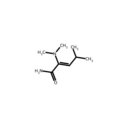 CC(C)C=C(C(N)=O)N(C)C